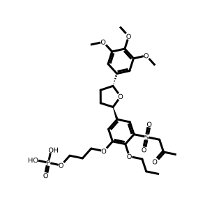 CCCOc1c(OCCCOP(=O)(O)O)cc([C@H]2CC[C@H](c3cc(OC)c(OC)c(OC)c3)O2)cc1S(=O)(=O)CC(C)=O